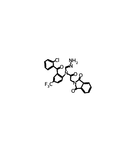 NN=CN(C(=O)CN1C(=O)c2ccccc2C1=O)c1ccc(C(F)(F)F)cc1C(=O)c1ccccc1Cl